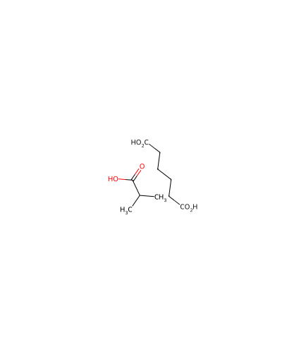 CC(C)C(=O)O.O=C(O)CCCCC(=O)O